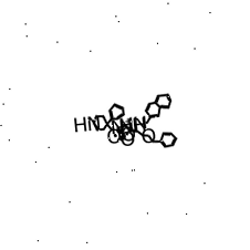 CS(=O)(=O)[N+]1(NC(=O)C(COCc2ccccc2)NCc2ccc3ccccc3c2)CC2(CCNCC2)c2ccccc21